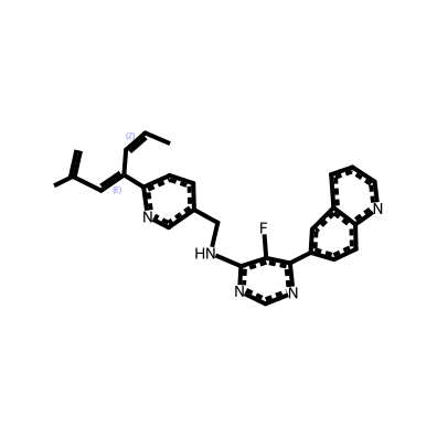 C=C(C)/C=C(\C=C/C)c1ccc(CNc2ncnc(-c3ccc4ncccc4c3)c2F)cn1